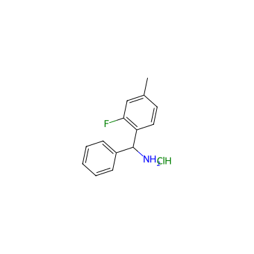 Cc1ccc(C(N)c2ccccc2)c(F)c1.Cl